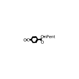 CCCCCOC(=O)C1=CCC(=C=O)C=C1